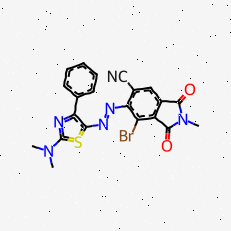 CN1C(=O)c2cc(C#N)c(/N=N/c3sc(N(C)C)nc3-c3ccccc3)c(Br)c2C1=O